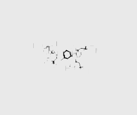 COC(=O)[C@H](Cc1ccc(OC(=O)CC(C)(C)C)c(OC(=O)CC(C)(C)C)c1)NC(=O)OC(C)(C)C